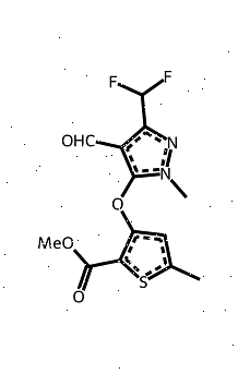 COC(=O)c1sc(C)cc1Oc1c(C=O)c(C(F)F)nn1C